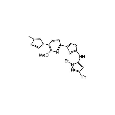 CCn1nc(C(C)C)cc1Nc1nc(-c2ccc(-n3cnc(C)c3)c(OC)n2)cs1